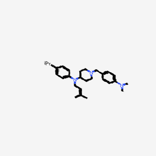 CC(C)=CCN(c1ccc(C(C)C)cc1)C1CCN(Cc2ccc(N(C)C)cc2)CC1